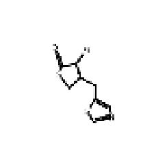 CCC1C(=O)SCC1Cc1cncs1